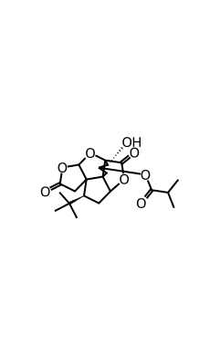 CC(C)C(=O)OC1CC23C4C[C@@H](C(C)(C)C)C25CC(=O)OC5OC3(C(=O)O4)[C@@H]1O